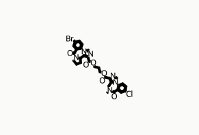 CN1Cc2c(C(=O)OCCCOC(=O)c3ncn4c3C3CCCN3C(=O)c3cc(Br)ccc3-4)ncn2-c2ccc(Cl)cc2C1=O